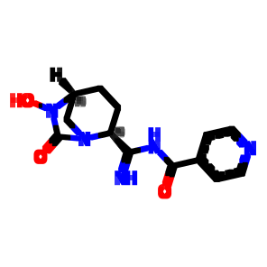 N=C(NC(=O)c1ccncc1)[C@@H]1CC[C@@H]2CN1C(=O)N2O